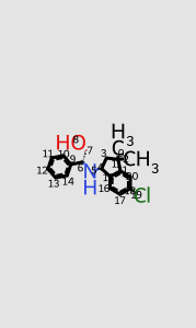 CC1(C)C[C@H](N[C@@H](CO)c2ccccc2)c2ccc(Cl)cc21